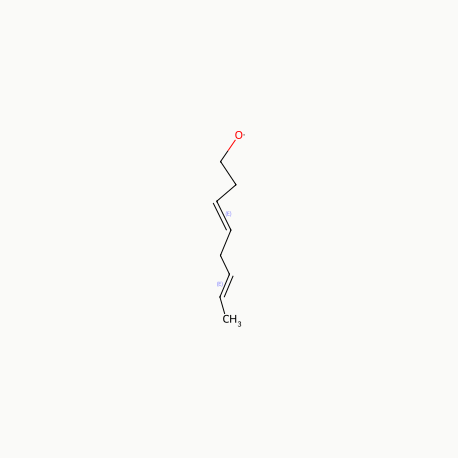 C/C=C/C/C=C/CC[O]